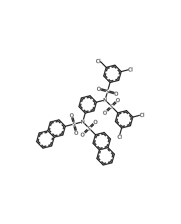 O=S(=O)(c1cc(Cl)cc(Cl)c1)N(c1cccc(N(S(=O)(=O)c2ccc3ccccc3c2)S(=O)(=O)c2ccc3ccccc3c2)c1)S(=O)(=O)c1cc(Cl)cc(Cl)c1